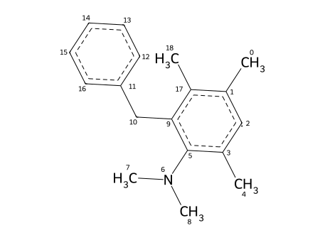 Cc1[c]c(C)c(N(C)C)c(Cc2ccccc2)c1C